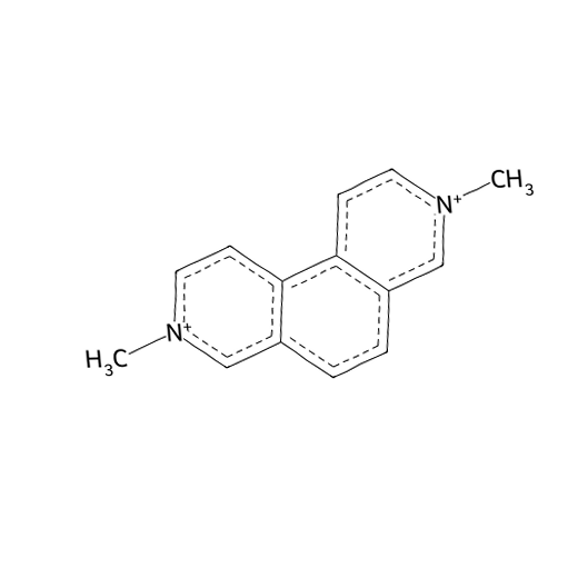 C[n+]1ccc2c(ccc3c[n+](C)ccc32)c1